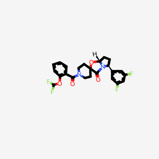 O=C(c1ccccc1OC(F)F)N1CCC2(CC1)O[C@@H]1CC[C@@H](c3cc(F)cc(F)c3)N1C2=O